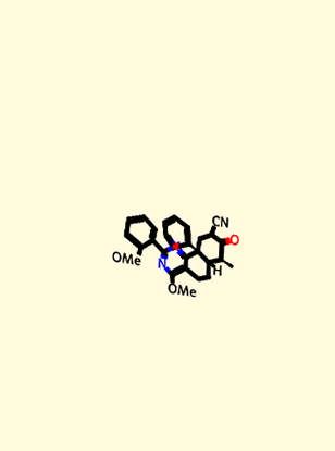 COc1ccccc1-c1nc(OC)c2c(n1)[C@]1(c3ccccc3)CC(C#N)C(=O)[C@@H](C)[C@@H]1CC2